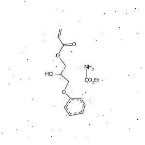 C=CC(=O)OCC(O)COc1ccccc1.CCOC(N)=O